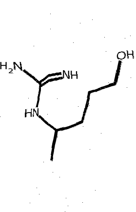 CC(CCCO)NC(=N)N